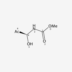 COC(=O)N[C@@H](O)C(C)=O